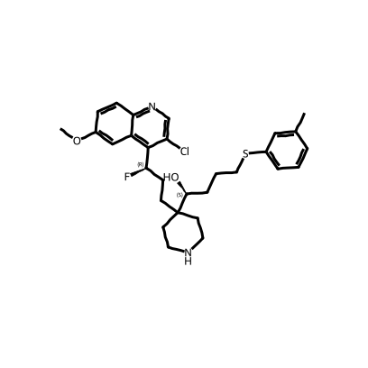 COc1ccc2ncc(Cl)c([C@H](F)CCC3([C@@H](O)CCCSc4cccc(C)c4)CCNCC3)c2c1